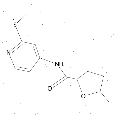 CSc1cc(NC(=O)C2CCC(C)O2)ccn1